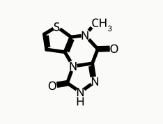 Cn1c(=O)c2n[nH]c(=O)n2c2ccsc21